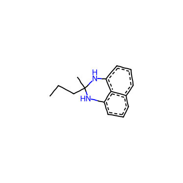 CCCC1(C)Nc2cccc3cccc(c23)N1